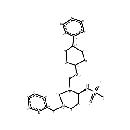 CS(=O)(=O)N[C@H]1CCN(Cc2ccccc2)C[C@H]1COC1CCC(c2ccccc2)CC1